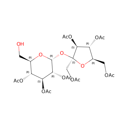 CC(=O)OC[C@H]1O[C@@](COC(C)=O)(O[C@H]2O[C@H](CO)[C@@H](OC(C)=O)[C@H](OC(C)=O)[C@H]2OC(C)=O)[C@@H](OC(C)=O)[C@@H]1OC(C)=O